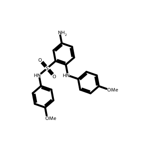 COc1ccc(Nc2ccc(N)cc2S(=O)(=O)Nc2ccc(OC)cc2)cc1